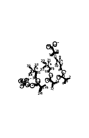 C=C(C)C(=O)OCC[N+](C)(C)C.C=C(C)C(=O)OCC[N+](C)(C)C.C=C(C)C(=O)OCC[N+](C)(C)C.C=C(C)C(=O)[O-].O=S(=O)([O-])[O-]